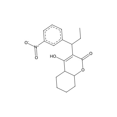 CCC(C1=C(O)C2CCCCC2OC1=O)c1cccc([N+](=O)[O-])c1